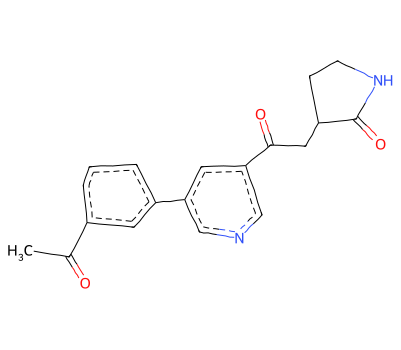 CC(=O)c1cccc(-c2cncc(C(=O)CC3CCNC3=O)c2)c1